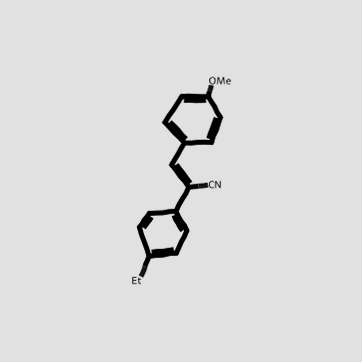 CCc1ccc(C(C#N)=Cc2ccc(OC)cc2)cc1